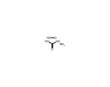 O=C(O)O.OCl.[AlH3]